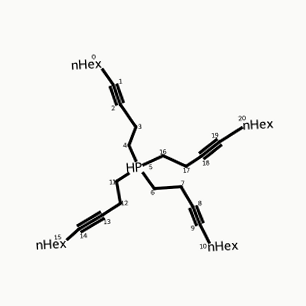 CCCCCCC#CCC[PH](CCC#CCCCCCC)(CCC#CCCCCCC)CCC#CCCCCCC